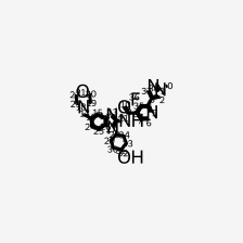 Cn1cc(-c2nccc(C(=O)Nc3nc4cc(CN5CCOCC5)ccc4n3[C@H]3CC[C@@H](O)CC3)c2F)cn1